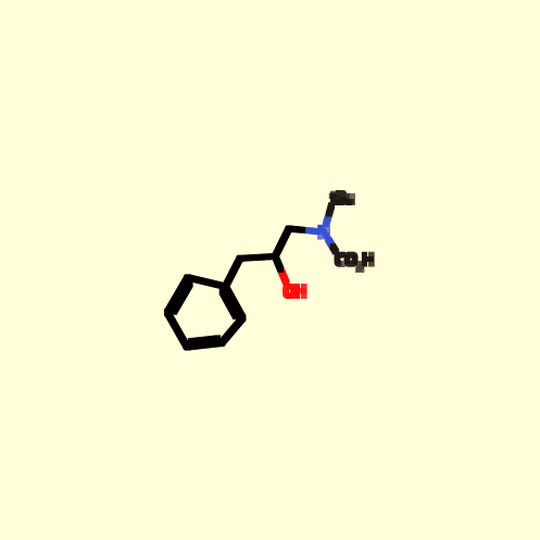 CC(C)(C)N(CC(O)Cc1ccccc1)C(=O)O